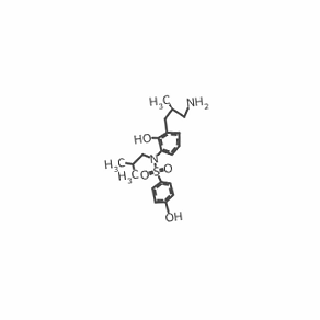 CC(C)CN(c1cccc(C[C@@H](C)CN)c1O)S(=O)(=O)c1ccc(O)cc1